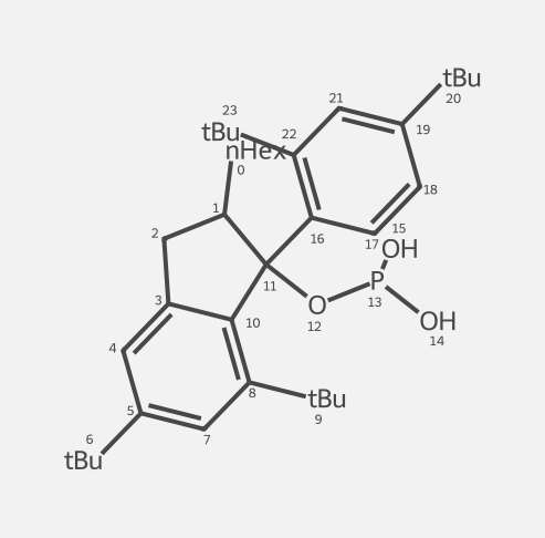 CCCCCCC1Cc2cc(C(C)(C)C)cc(C(C)(C)C)c2C1(OP(O)O)c1ccc(C(C)(C)C)cc1C(C)(C)C